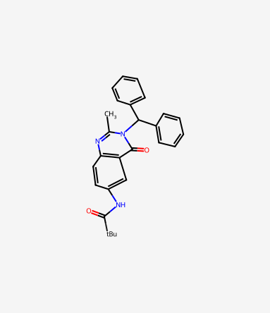 Cc1nc2ccc(NC(=O)C(C)(C)C)cc2c(=O)n1C(c1ccccc1)c1ccccc1